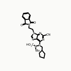 CC(C)(C)N(C(=O)O)N(CC1CCCC1)c1nc(C#N)nc2c1ncn2CCN1C(=O)c2ccccc2C1=O